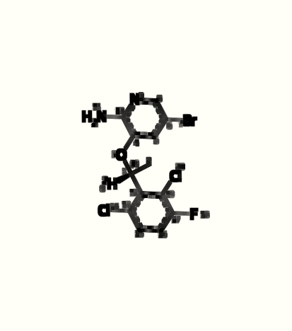 [2H][C@](C)(Oc1cc(Br)cnc1N)c1c(Cl)ccc(F)c1Cl